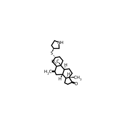 C=C1C[C@@H]2[C@H](CC[C@]3(C)C(=O)CC[C@@H]23)[C@@]2(C)CC[C@@H](S[C@H]3CCNC3)CC12